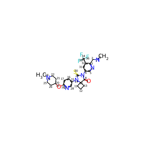 C=NCc1ncc(N2C(=O)C3(CCC3)N(c3ccc(OC4CCN(C)CC4)nc3)C2=S)cc1C(F)(F)F